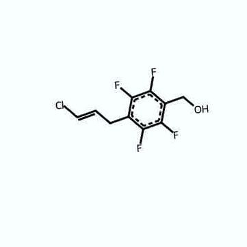 OCc1c(F)c(F)c(CC=CCl)c(F)c1F